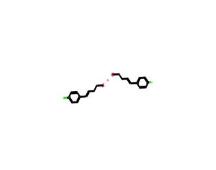 O=C(CCC=Cc1ccc(Cl)cc1)OOC(=O)CCC=Cc1ccc(Cl)cc1